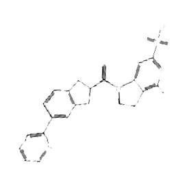 Cc1cc(S(N)(=O)=O)cc2c1CCN2C(=O)C1Cc2ccc(-c3ccccn3)cc2C1